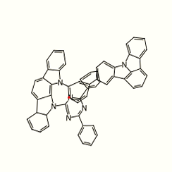 C1=CC2c3ccc4c5ccccc5n(-c5cccc(-c6ccc7c(c6)c6cccc8c9ccccc9n7c86)c5)c4c3N(c3nc(-c4ccccc4)nc(-c4ccccc4)n3)C2C=C1